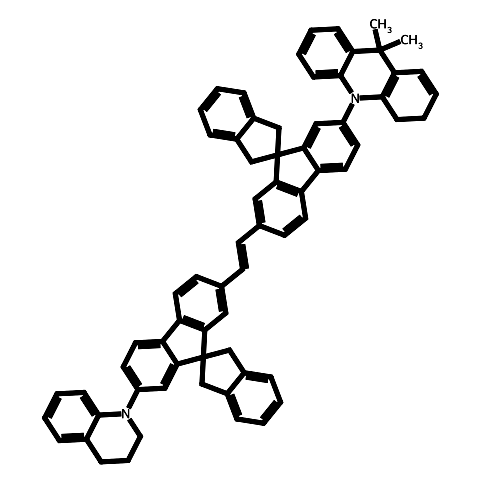 CC1(C)C2=C(CCC=C2)N(c2ccc3c(c2)C2(Cc4ccccc4C2)c2cc(/C=C/c4ccc5c(c4)C4(Cc6ccccc6C4)c4cc(N6CCCc7ccccc76)ccc4-5)ccc2-3)c2ccccc21